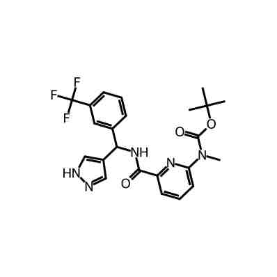 CN(C(=O)OC(C)(C)C)c1cccc(C(=O)NC(c2cn[nH]c2)c2cccc(C(F)(F)F)c2)n1